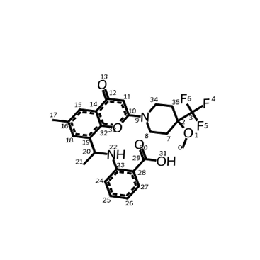 COC1(C(F)(F)F)CCN(c2cc(=O)c3cc(C)cc(C(C)Nc4ccccc4C(=O)O)c3o2)CC1